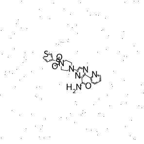 NC(=O)c1nc(N2CCN(S(=O)(=O)c3ccsc3)CC2)cnc1-c1ccccn1